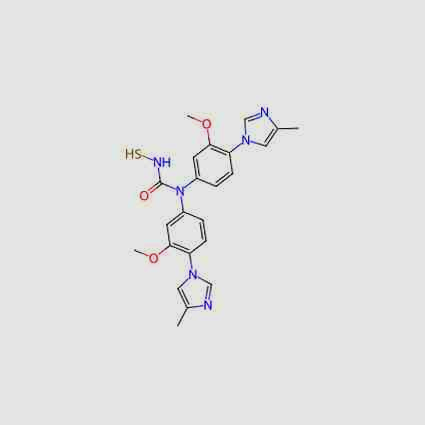 COc1cc(N(C(=O)NS)c2ccc(-n3cnc(C)c3)c(OC)c2)ccc1-n1cnc(C)c1